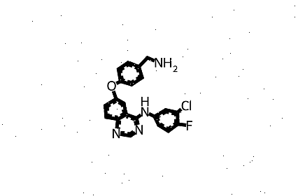 NCc1ccc(Oc2ccc3ncnc(Nc4ccc(F)c(Cl)c4)c3c2)cc1